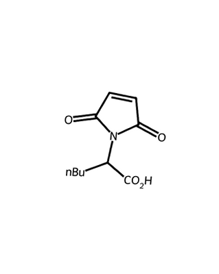 CCCCC(C(=O)O)N1C(=O)C=CC1=O